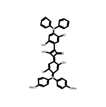 COc1ccc([N+](=C2C=C(O)/C(=C3\C(=O)C(c4cc(Cl)c(N(c5ccccc5)c5ccccc5)cc4O)=C3O)C=C2Cl)c2ccc(OC)cc2)cc1